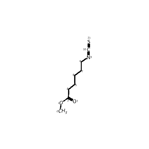 COC(=O)CCCCCN=C=S